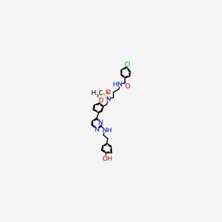 CS(=O)(=O)N(CCCNC(=O)c1ccc(Cl)cc1)Cc1cccc(-c2ccnc(NCCc3ccc(O)cc3)n2)c1